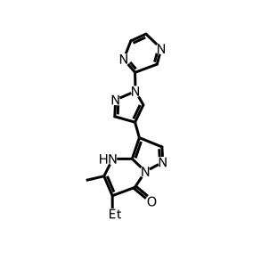 CCc1c(C)[nH]c2c(-c3cnn(-c4cnccn4)c3)cnn2c1=O